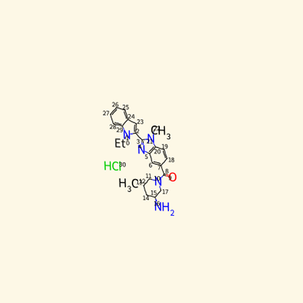 CCn1c(-c2nc3cc(C(=O)N4C[C@@H](C)C[C@H](N)C4)ccc3n2C)cc2ccccc21.Cl